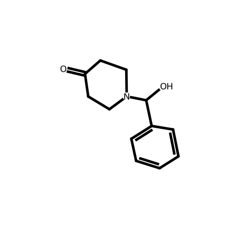 O=C1CCN(C(O)c2ccccc2)CC1